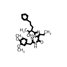 CCc1nc(C(CCCc2ccccc2)C(C)O)n2nc(Cc3ccc(OC)c(OC)c3)[nH]c(=O)c12